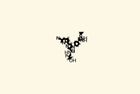 CC(C)(O)[C@H](F)CNC(=O)c1cnc(-c2ccc3cc(C#N)cnn23)cc1N[C@H]1CC[C@H](C2=CN(C3CC3)NN2)CC1